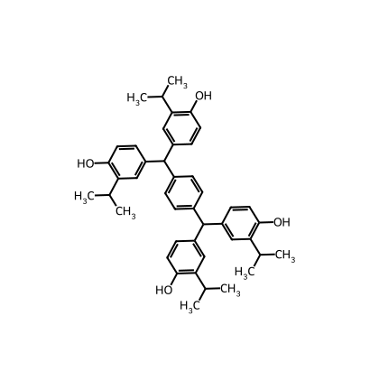 CC(C)c1cc(C(c2ccc(C(c3ccc(O)c(C(C)C)c3)c3ccc(O)c(C(C)C)c3)cc2)c2ccc(O)c(C(C)C)c2)ccc1O